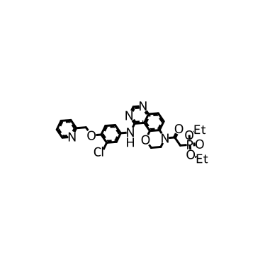 CCOP(=O)(CC(=O)N1CCOc2c1ccc1ncnc(Nc3ccc(OCc4ccccn4)c(Cl)c3)c21)OCC